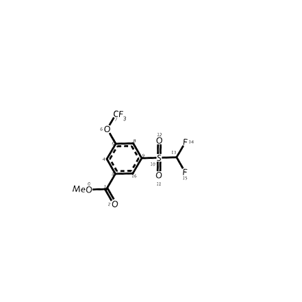 COC(=O)c1cc(OC(F)(F)F)cc(S(=O)(=O)C(F)F)c1